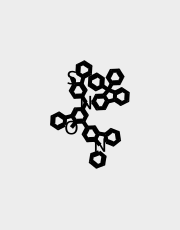 c1ccc(-n2c3ccccc3c3cc(-c4cc(N(c5ccc6c(c5)C(c5ccccc5)(c5ccccc5)c5ccccc5-6)c5ccc6sc7ccccc7c6c5)cc5c4oc4ccccc45)ccc32)cc1